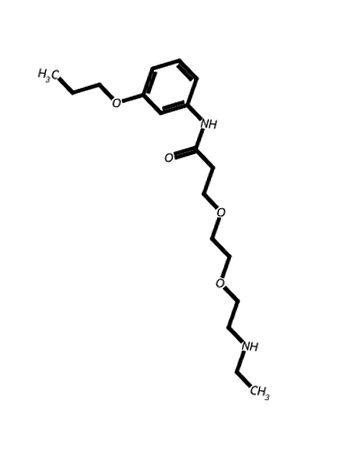 CCCOc1cccc(NC(=O)CCOCCOCCNCC)c1